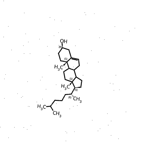 CC(C)CCC[C@@H](C)[C@@H]1CCC2C3CC=C4C[C@H](O)CC[C@@]4(C)C3CC[C@]21C